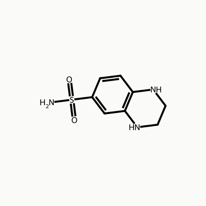 NS(=O)(=O)c1ccc2c(c1)NCCN2